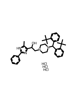 Cc1[nH]c(-c2ccccc2)nc1C(O)CN1CCN(C(c2ccccc2C(C)(C)C)c2ccccc2C(C)(C)C)CC1.Cl.Cl.Cl